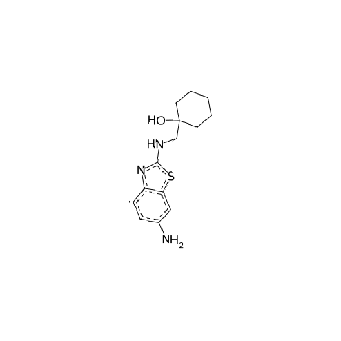 Nc1c[c]c2nc(NCC3(O)CCCCC3)sc2c1